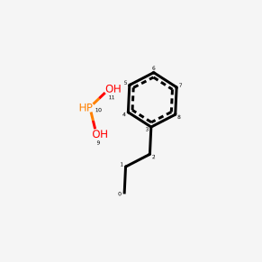 CCCc1ccccc1.OPO